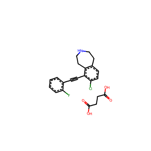 Fc1ccccc1C#Cc1c(Cl)ccc2c1CCNCC2.O=C(O)CCC(=O)O